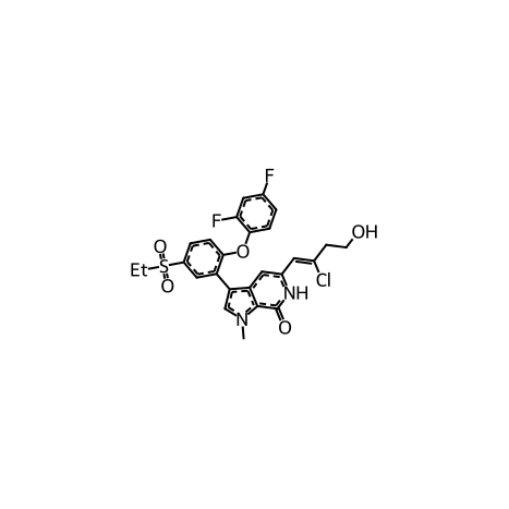 CCS(=O)(=O)c1ccc(Oc2ccc(F)cc2F)c(-c2cn(C)c3c(=O)[nH]c(C=C(Cl)CCO)cc23)c1